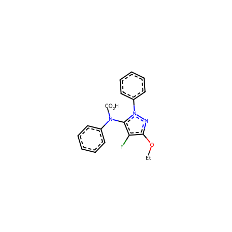 CCOc1nn(-c2ccccc2)c(N(C(=O)O)c2ccccc2)c1F